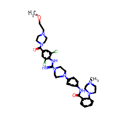 COCCN1CCN(C(=O)c2cc(Cl)c(NC(=N)N3CCN(c4ccc(NC(=O)c5ccccc5N5CCN(C)CC5)cc4)CC3)c(Cl)c2)CC1